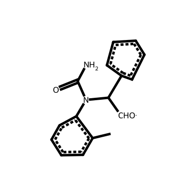 Cc1ccccc1N(C(N)=O)C([C]=O)c1ccccc1